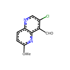 COc1ccc2ncc(Cl)c(C=O)c2n1